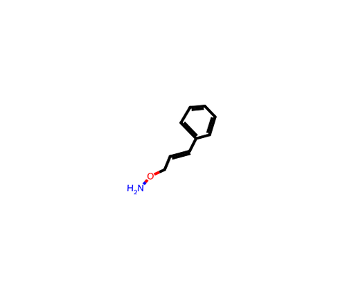 NOC/C=C/c1ccccc1